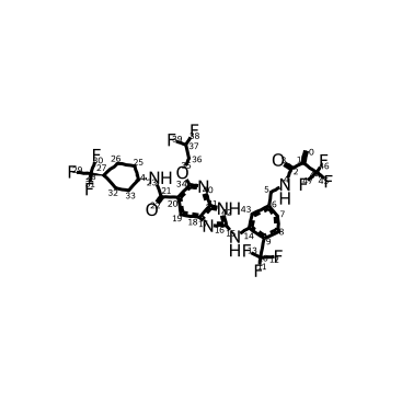 C=C(C(=O)NCc1ccc(C(F)(F)F)c(Nc2nc3cc(C(=O)N[C@H]4CC[C@H](C(F)(F)F)CC4)c(OCC(F)F)nc3[nH]2)c1)C(F)(F)F